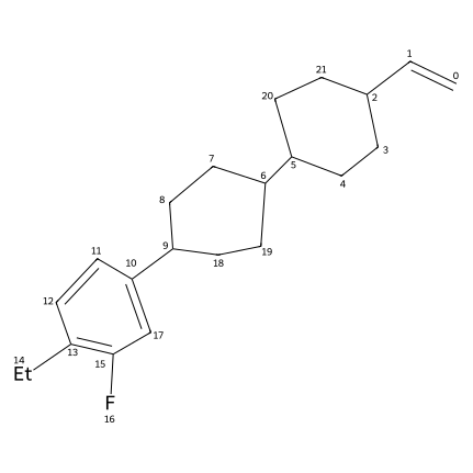 C=CC1CCC(C2CCC(c3ccc(CC)c(F)c3)CC2)CC1